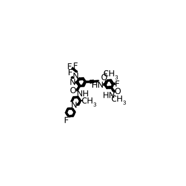 CNC(=O)c1cc(NCC#Cc2cc(C(=O)N[C@H]3CCN(C4CCC(F)CC4)C[C@@H]3C)c3ncn(CC(F)(F)F)c3c2)c(OC)cc1F